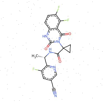 C[C@H](NC(=O)C1(n2c(=O)[nH]c3ccc(F)c(F)c3c2=O)CC1)c1ncc(C#N)cc1F